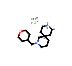 C1CN(CC2CCOCC2)CC2(C1)CCNCC2.Cl.Cl